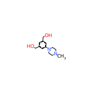 CN1CCN(c2cc(CO)cc(CO)c2)CC1